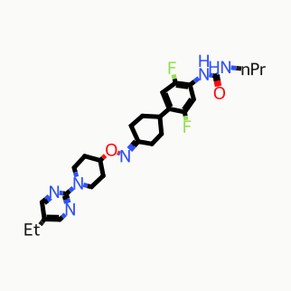 CCCNC(=O)Nc1cc(F)c(C2CCC(=NOC3CCN(c4ncc(CC)cn4)CC3)CC2)cc1F